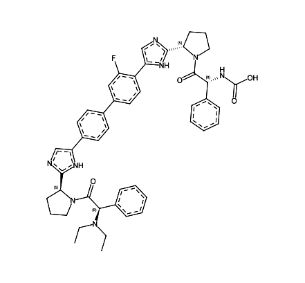 CCN(CC)[C@@H](C(=O)N1CCC[C@H]1c1ncc(-c2ccc(-c3ccc(-c4cnc([C@@H]5CCCN5C(=O)[C@H](NC(=O)O)c5ccccc5)[nH]4)c(F)c3)cc2)[nH]1)c1ccccc1